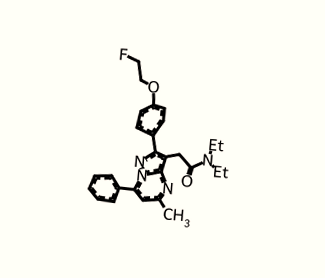 CCN(CC)C(=O)Cc1c(-c2ccc(OCCF)cc2)nn2c(-c3ccccc3)cc(C)nc12